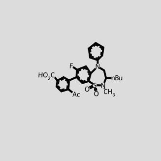 CCCCC1CN(c2ccccc2)c2cc(F)c(-c3cc(C(=O)O)ccc3C(C)=O)cc2S(=O)(=O)N1C